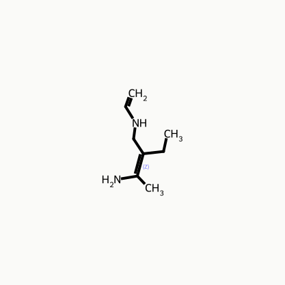 C=CNC/C(CC)=C(/C)N